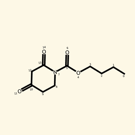 CCCCOC(=O)N1CCC(=O)CC1=O